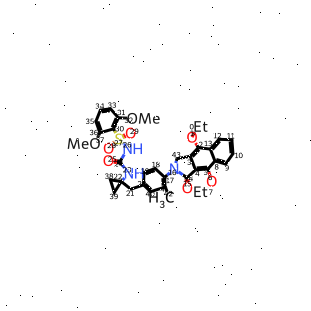 CCOc1c2c(c(OCC)c3ccccc13)C(=O)N(c1ccc(CC3(NC(=O)NS(=O)(=O)c4c(OC)cccc4OC)CC3)cc1C)C2